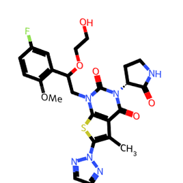 COc1ccc(F)cc1C(Cn1c(=O)n([C@@H]2CCNC2=O)c(=O)c2c(C)c(-n3nccn3)sc21)OCCO